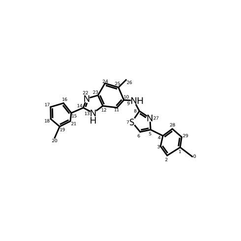 Cc1ccc(-c2csc(Nc3cc4[nH]c(-c5cccc(C)c5)nc4cc3C)n2)cc1